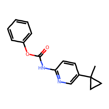 CC1(c2ccc(NC(=O)Oc3ccccc3)nc2)CC1